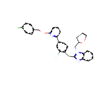 Fc1cc(-c2cccc(OCc3ccc(Cl)cc3)n2)ccc1Cc1nc2ccccc2n1CC1CCCO1